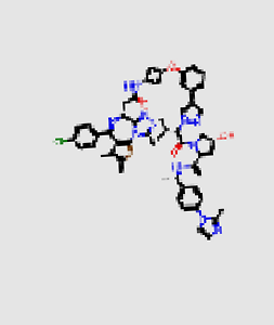 C=C(N[C@@H](C)c1ccc(-n2ccnc2C)cc1)[C@@H]1C[C@@H](O)CN1C(=O)[C@H](C(C)C)n1cc(-c2cccc(O[C@H]3C[C@@H](NC(=O)C[C@@H]4N=C(c5ccc(Cl)cc5)c5c(sc(C)c5C)-n5c(C)nnc54)C3)c2)cn1